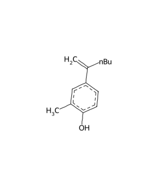 C=C(CCCC)c1ccc(O)c(C)c1